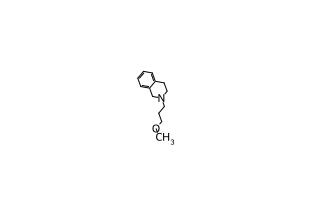 COCCCN1CCc2ccccc2C1